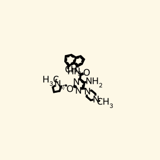 Cc1cccc2cccc(NC(=O)c3nc(OC[C@@H]4CCCN4C)nc(N4CCN(C)CC4)c3N)c12